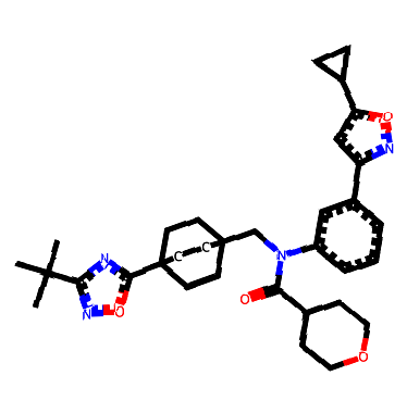 CC(C)(C)c1noc(C23CCC(CN(C(=O)C4CCOCC4)c4cccc(-c5cc(C6CC6)on5)c4)(CC2)CC3)n1